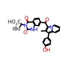 Cc1c(-c2ccc(O)cc2)c2ccccn2c1C(=O)c1ccc2c(=O)n(C(C(=O)O)C(C)(C)C)c(=O)[nH]c2c1